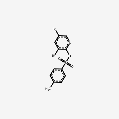 Cc1ccc(S(=O)(=O)Oc2ncc(Br)cc2Br)cc1